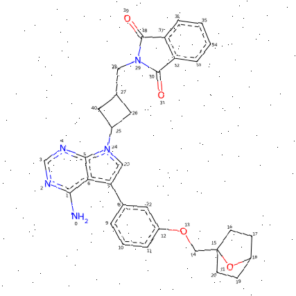 Nc1ncnc2c1c(-c1cccc(OCC34CCC(CC3)O4)c1)cn2C1CC(CN2C(=O)c3ccccc3C2=O)C1